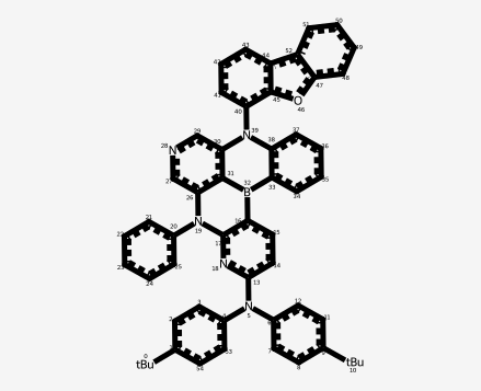 CC(C)(C)c1ccc(N(c2ccc(C(C)(C)C)cc2)c2ccc3c(n2)N(c2ccccc2)c2cncc4c2B3c2ccccc2N4c2cccc3c2oc2ccccc23)cc1